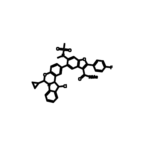 CNC(=O)c1c(-c2ccc(F)cc2)oc2cc(N(C)S(C)(=O)=O)c(-c3ccc4c(c3)C3C(Cl)c5ccccc5N3C(C3CC3)O4)cc12